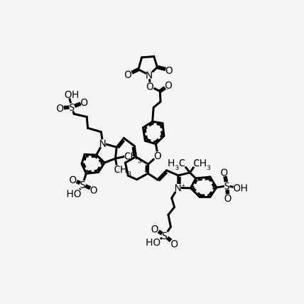 CC1(C)C(/C=C/C2=C(Oc3ccc(CCC(=O)ON4C(=O)CCC4=O)cc3)C(=C/C=C3/N(CCCCS(=O)(=O)O)c4ccc(S(=O)(=O)O)cc4C3(C)C)/CCC2)=[N+](CCCCS(=O)(=O)O)c2ccc(S(=O)(=O)O)cc21